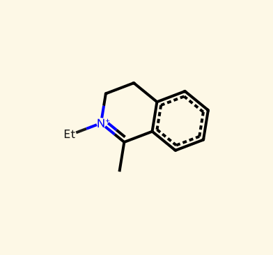 CC[N+]1=C(C)c2ccccc2CC1